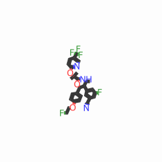 CC(NC(=O)C(C)(C)Oc1ccc(C(F)(F)F)cn1)C(Cc1ccc(OCCF)cc1)c1cc(F)cc(C#N)c1